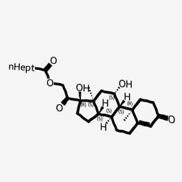 CCCCCCCC(=O)OCC(=O)[C@@]1(O)CC[C@H]2[C@@H]3CCC4=CC(=O)CC[C@]4(C)[C@H]3[C@@H](O)C[C@@]21C